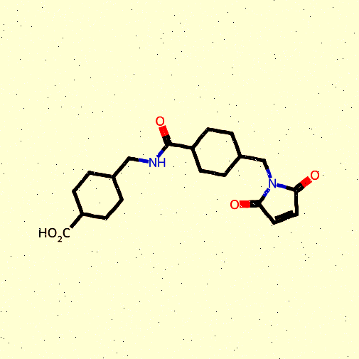 O=C(O)C1CCC(CNC(=O)C2CCC(CN3C(=O)C=CC3=O)CC2)CC1